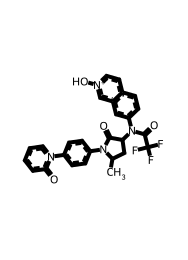 CC1CC(N(C(=O)C(F)(F)F)c2ccc3cc[n+](O)cc3c2)C(=O)N1c1ccc(-n2ccccc2=O)cc1